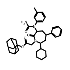 Cc1cccc(N(C(N)=O)C2CC(c3ccccc3)CC(C3CCCCC3)N(CC(=O)OC34CC5CC(CC(C5)C3)C4)C2=O)c1